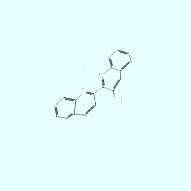 [I-].[I-].[Pd+2][c]1cc2ccccc2nc1-c1ccc2ccccc2n1